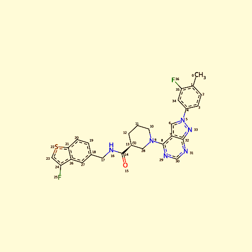 Cc1ccc(-n2cc3c(N4CCC[C@H](C(=O)NCc5ccc6scc(F)c6c5)C4)ncnc3n2)cc1F